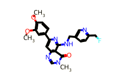 COc1ccc(-c2cc3ncn(C)c(=O)c3c(NCc3ccc(CF)nc3)n2)cc1OC